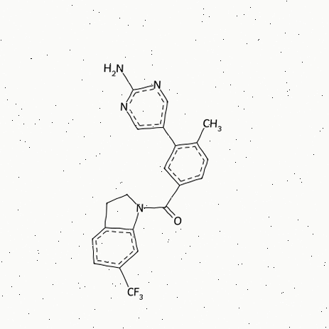 Cc1ccc(C(=O)N2CCc3ccc(C(F)(F)F)cc32)cc1-c1cnc(N)nc1